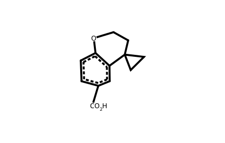 O=C(O)c1ccc2c(c1)C1(CCO2)CC1